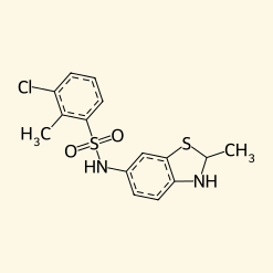 Cc1c(Cl)cccc1S(=O)(=O)Nc1ccc2c(c1)SC(C)N2